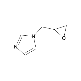 c1cn(CC2CO2)cn1